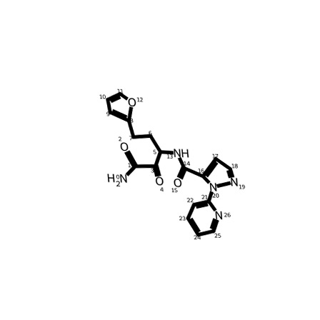 NC(=O)C(=O)C(CCc1ccco1)NC(=O)c1ccnn1-c1ccccn1